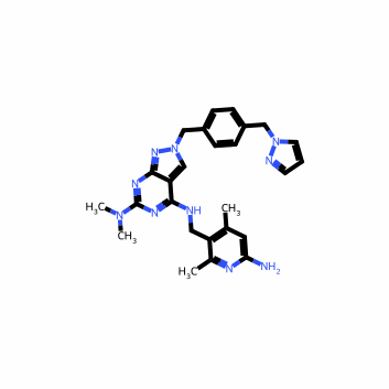 Cc1cc(N)nc(C)c1CNc1nc(N(C)C)nc2nn(Cc3ccc(Cn4cccn4)cc3)cc12